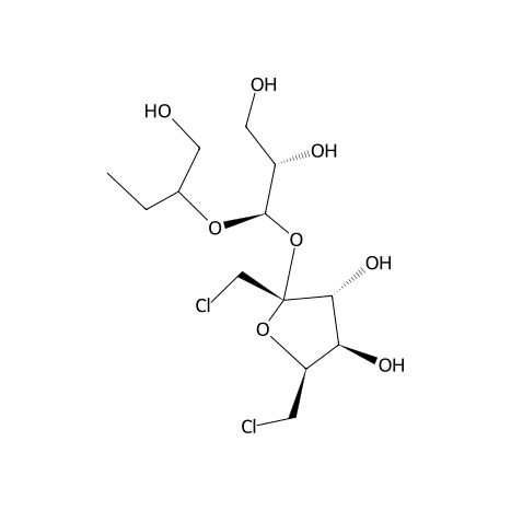 CCC(CO)O[C@H](O[C@@]1(CCl)O[C@H](CCl)[C@H](O)[C@H]1O)[C@@H](O)CO